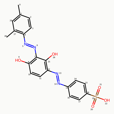 Cc1ccc(/N=N/c2c(O)ccc(/N=N/c3ccc(S(=O)(=O)O)cc3)c2O)c(C)c1